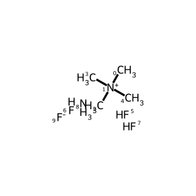 C[N+](C)(C)C.F.F.F.N.[F-]